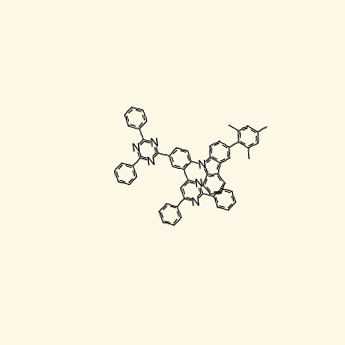 Cc1cc(C)c(-c2ccc3c(c2)c2ccccc2n3-c2ccc(-c3nc(-c4ccccc4)nc(-c4ccccc4)n3)cc2-c2cc(-c3ccccc3)nc(-c3ccccc3)n2)c(C)c1